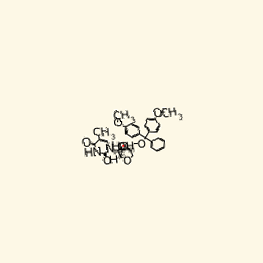 COc1ccc(C(OC[C@@]23CO[C@@H]([C@H](n4cc(C)c(=O)[nH]c4=O)O2)[C@@H]3O)(c2ccccc2)c2ccc(OC)cc2)cc1